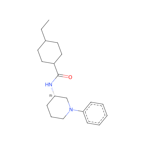 CCC1CCC(C(=O)N[C@H]2CCCN(c3ccccc3)C2)CC1